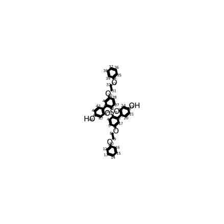 O=S(=O)(c1ccc(OCCOc2ccccc2)cc1-c1ccc(O)cc1)c1ccc(OCCOc2ccccc2)cc1-c1ccc(O)cc1